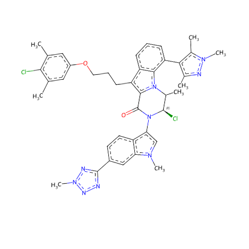 Cc1cc(OCCCc2c3n(c4c(-c5c(C)nn(C)c5C)cccc24)C(C)[C@@H](Cl)N(c2cn(C)c4cc(-c5nnn(C)n5)ccc24)C3=O)cc(C)c1Cl